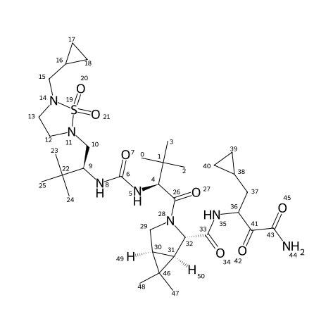 CC(C)(C)[C@H](NC(=O)N[C@H](CN1CCN(CC2CC2)S1(=O)=O)C(C)(C)C)C(=O)N1C[C@H]2[C@@H]([C@H]1C(=O)NC(CC1CC1)C(=O)C(N)=O)C2(C)C